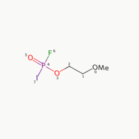 COCCOP(=O)(F)I